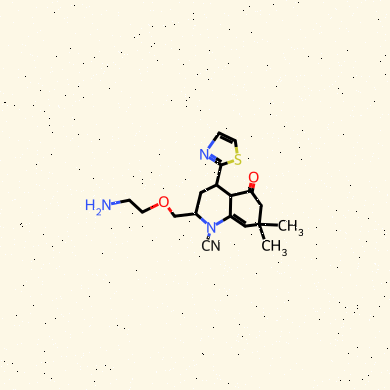 CC1(C)C=C2C(C(=O)C1)C(c1nccs1)CC(COCCN)N2C#N